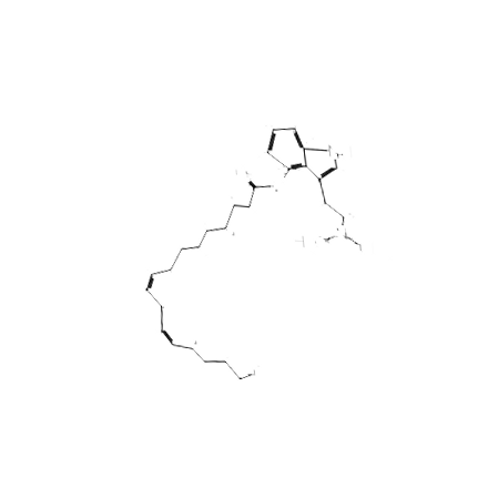 CCCCC/C=C\C/C=C\CCCCCCCC(=O)Oc1cccc2[nH]cc(CCN(C)C)c12